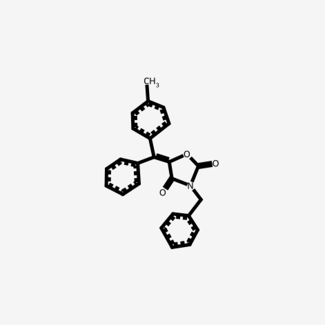 Cc1ccc(C(=C2OC(=O)N(Cc3ccccc3)C2=O)c2ccccc2)cc1